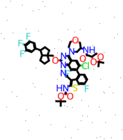 CC(C)(C)OC(=O)Nc1sc2c(F)ccc(-c3c(Cl)cc4c(N5CCOCC(NC(=O)C6COC(C)(C)O6)C5)nc(OCC56CCCC5C(c5cc(F)c(F)c(F)c5)CC6)nc4c3F)c2c1C#N